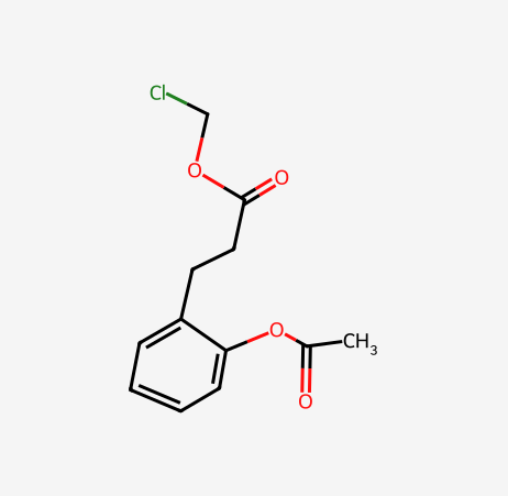 CC(=O)Oc1ccccc1CCC(=O)OCCl